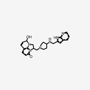 O=c1ccc2c3n1C(CN1CCC(NCc4cc5cccnc5[nH]4)CC1)CN3C(O)C=C2